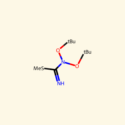 CSC(=N)N(OC(C)(C)C)OC(C)(C)C